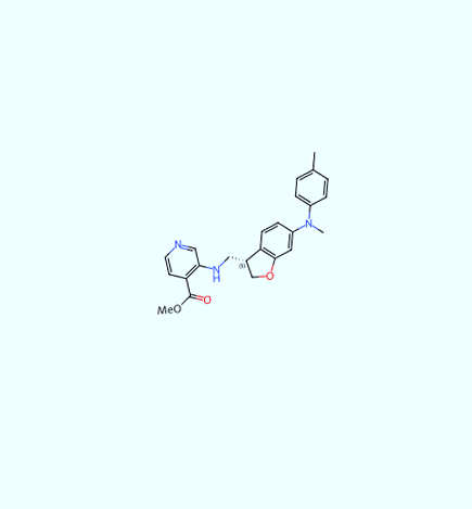 COC(=O)c1ccncc1NC[C@H]1COc2cc(N(C)c3ccc(C)cc3)ccc21